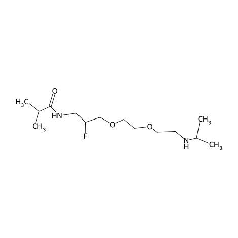 CC(C)NCCOCCOCC(F)CNC(=O)C(C)C